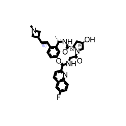 C[C@H](NC(=O)[C@@H]1C[C@@H](O)CN1C(=O)CNC(=O)c1ccc2cc(F)ccc2n1)c1ccccc1/C=C/C1CN(C)C1